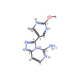 COc1ncc(-c2nnc3ccnc(N)n23)c(C)n1